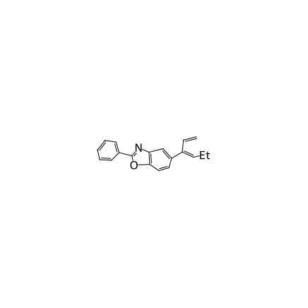 C=C/C(=C\CC)c1ccc2oc(-c3ccccc3)nc2c1